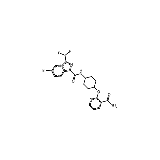 NC(=O)c1cccnc1OC1CCC(NC(=O)c2nc(C(F)F)n3cc(Br)ccc23)CC1